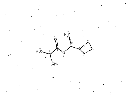 C[C@H](OC(=O)N(C)C)C1CCC1